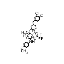 COc1ccc(NC(=O)N(OC(=O)C(F)(F)F)[C@@H](CN2CCC(Cc3ccc(Cl)c(Cl)c3)CC2)C(C)(C)C)cc1